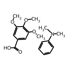 CN(C)c1ccccc1.COc1cc(C(=O)O)cc(OC)c1OC